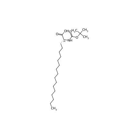 CCCCCCCCCCCCCCCC[C@@H](NC(=O)OC(C)(C)C)C(=O)O